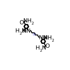 NC(=O)c1ccc(NCC/C=C/CCNc2ccc(C(N)=O)cc2N)c(N)c1